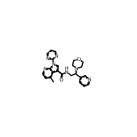 Cc1ccnc2c1c(C(=O)NCC(c1cccnc1)N1CCOCC1)cn2-c1ncccn1